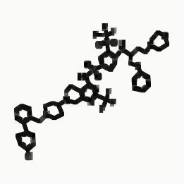 O=S(=O)(Nc1nc(C(F)(F)F)nc2c1CCN(C1CCN(Cc3ccccc3-c3ccc(Cl)cc3)CC1)C2)c1ccc(NC(CCN2CCOCC2)CSc2ccccc2)c(S(=O)(=O)C(F)(F)F)c1